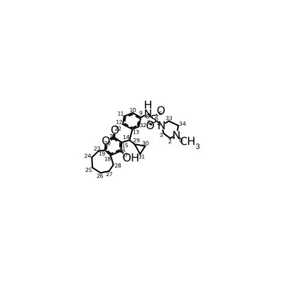 CN1CCN(S(=O)(=O)Nc2cccc(C(c3c(O)c4c(oc3=O)CCCCCC4)C3CC3)c2)CC1